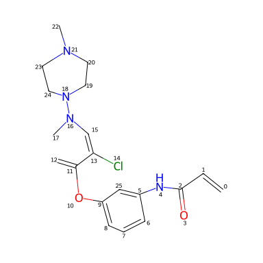 C=CC(=O)Nc1cccc(OC(=C)/C(Cl)=C\N(C)N2CCN(C)CC2)c1